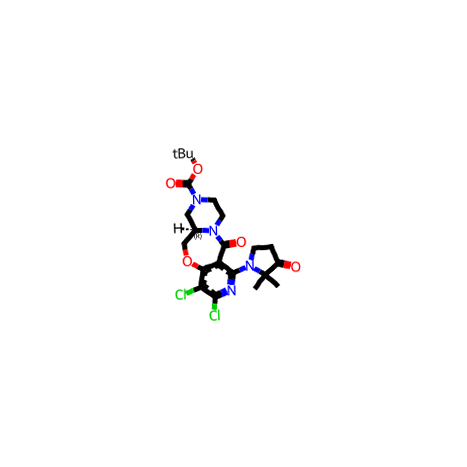 CC(C)(C)OC(=O)N1CCN2C(=O)c3c(N4CCC(=O)C4(C)C)nc(Cl)c(Cl)c3OC[C@H]2C1